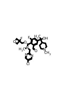 CN1CCC(C(C)(O)c2cc(F)c([C@@H](OCC3(F)COC3)N(C)Cc3ncc(Cl)cn3)c(C=O)c2)CC1